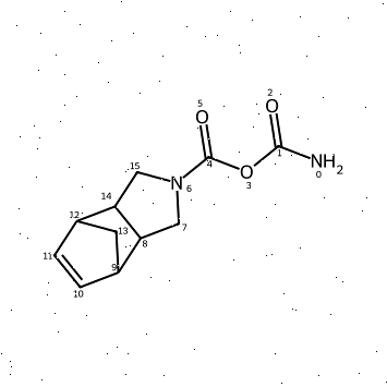 NC(=O)OC(=O)N1CC2C3C=CC(C3)C2C1